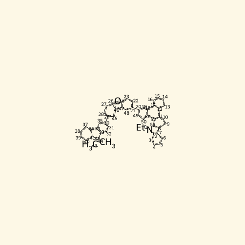 CCn1c2ccccc2c2ccc3c4ccccc4c4cc(-c5ccc6oc7ccc(-c8ccc9c(c8)-c8ccccc8C9(C)C)cc7c6c5)ccc4c3c21